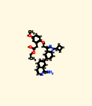 CCOC(=O)Cc1cc(OC)ccc1OCc1nn(C2CCC2)c2ccc(-c3ccc4ccnc(N)c4c3)cc12